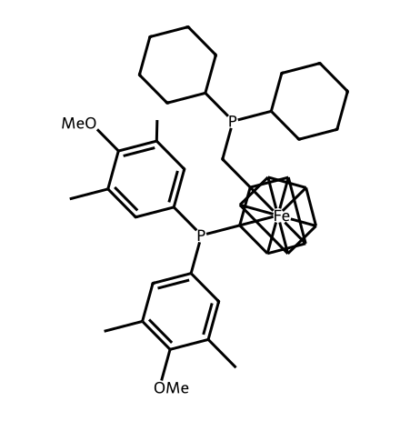 COc1c(C)cc(P(c2cc(C)c(OC)c(C)c2)[C]23[CH]4[CH]5[CH]6[C]2(CP(C2CCCCC2)C2CCCCC2)[Fe]56432789[CH]3[CH]2[CH]7[CH]8[CH]39)cc1C